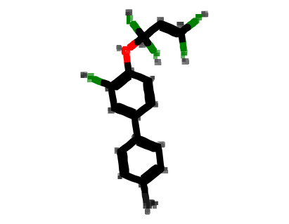 CCCc1ccc(-c2ccc(OC(F)(F)C=C(F)F)c(F)c2)cc1